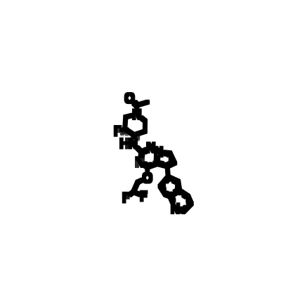 CC(=O)N1CC[C@H](Nc2nc(OCC(F)F)c3c(-c4ccc5ncccc5c4)ccn3n2)[C@H](F)C1